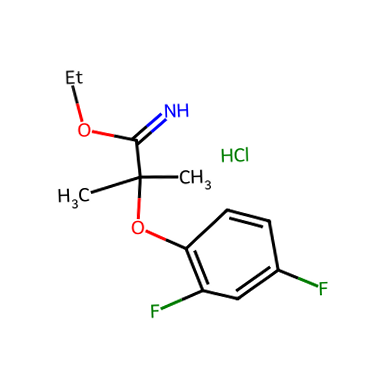 CCOC(=N)C(C)(C)Oc1ccc(F)cc1F.Cl